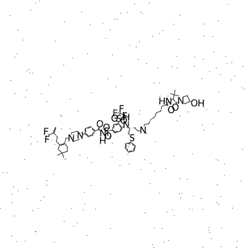 C=C(CCC1=C(CN2CCN(c3ccc(C(=O)NS(=O)(=O)c4ccc(N[C@H](CCN(C)CCCCCCCC(=O)N[C@H](C(=O)N5CC[C@@H](O)C5)C(C)(C)C)CSc5ccccc5)c(S(=O)(=O)C(F)(F)F)c4)cc3)CC2)CCC(C)(C)C1)C(F)F